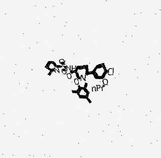 CCCOc1cc(-c2ccc(C(=O)NS(=O)(=O)c3cccc(C)n3)c(Oc3c(C)cc(C)cc3C)n2)ccc1Cl